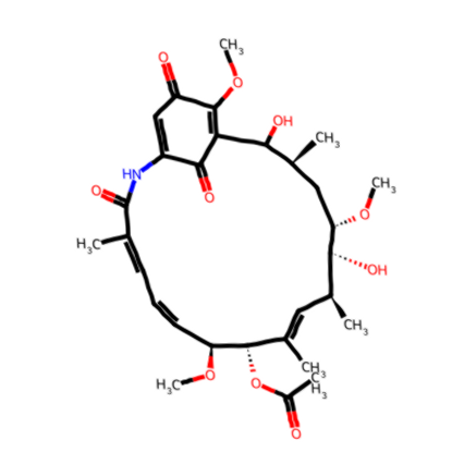 COC1=C2C(=O)C(=CC1=O)NC(=O)/C(C)=C/C=C\[C@H](OC)[C@@H](OC(C)=O)/C(C)=C/[C@H](C)[C@@H](O)[C@@H](OC)C[C@H](C)C2O